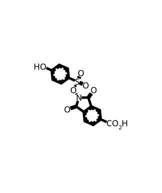 O=C(O)c1ccc2c(c1)C(=O)N(OS(=O)(=O)c1ccc(O)cc1)C2=O